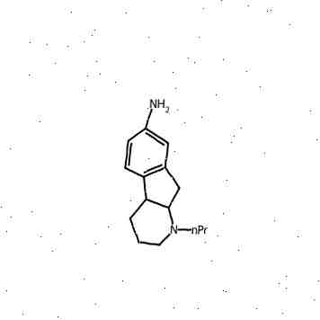 CCCN1CCCC2c3ccc(N)cc3CC21